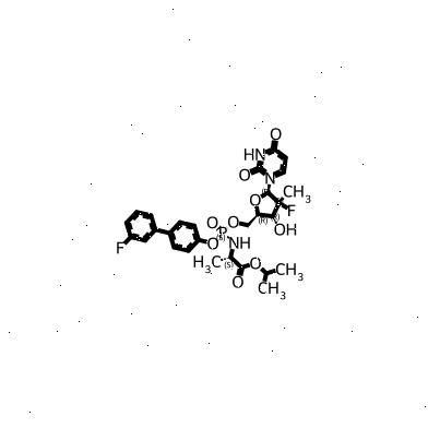 CC(C)OC(=O)[C@H](C)N[P@](=O)(OC[C@H]1O[C@@H](n2ccc(=O)[nH]c2=O)[C@](C)(F)[C@@H]1O)Oc1ccc(-c2cccc(F)c2)cc1